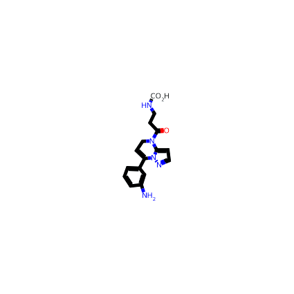 Nc1cccc(C2=CCN(C(=O)CCNC(=O)O)c3ccnn32)c1